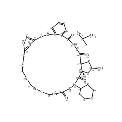 CC(C)C[C@H]1NC(=O)c2ccccc2OCc2noc(n2)CCCCCCCCNC(=O)CN(C2CCCCC2)C(=O)[C@H]2C[C@H](O)CN2C1=O